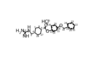 Cl.N=C(N)NC[C@H]1CC[C@H](C(=O)Oc2ccc(OCc3ccccc3)cc2)CC1